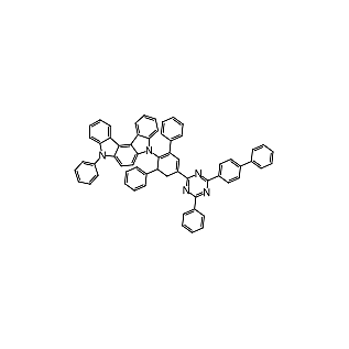 C1=C(c2nc(-c3ccccc3)nc(-c3ccc(-c4ccccc4)cc3)n2)CC(c2ccccc2)C(n2c3ccccc3c3c4c5ccccc5n(-c5ccccc5)c4ccc32)=C1c1ccccc1